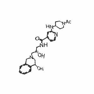 CC(=O)N1CCC(Nc2cc(C(=O)NC[C@H](O)CN3Cc4ccccc4C(O)C3)ccn2)CC1